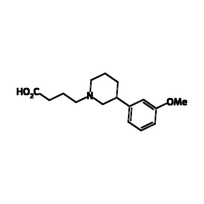 COc1cccc(C2CCCN(CCCC(=O)O)C2)c1